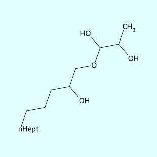 CCCCCCCCCCC(O)COC(O)C(C)O